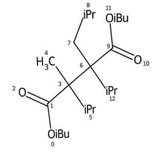 CC(C)COC(=O)C(C)(C(C)C)C(CC(C)C)(C(=O)OCC(C)C)C(C)C